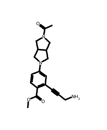 COC(=O)c1ccc(N2CC3CN(C(C)=O)CC3C2)cc1C#CCN